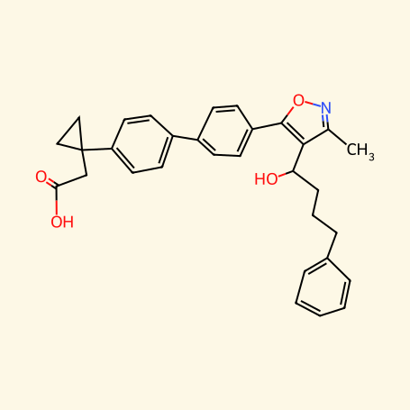 Cc1noc(-c2ccc(-c3ccc(C4(CC(=O)O)CC4)cc3)cc2)c1C(O)CCCc1ccccc1